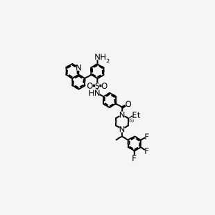 CC[C@H]1CN(C(C)c2cc(F)c(F)c(F)c2)CCN1C(=O)c1ccc(NS(=O)(=O)c2ccc(N)cc2-c2cccc3cccnc23)cc1